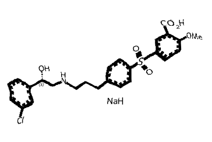 COc1ccc(S(=O)(=O)c2ccc(CCCNC[C@@H](O)c3cccc(Cl)c3)cc2)cc1C(=O)O.[NaH]